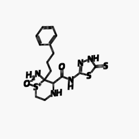 NC1(CCCc2ccccc2)C(C(=O)Nc2n[nH]c(=S)s2)NCC[S+]1[O-]